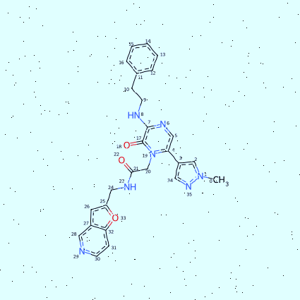 Cn1cc(-c2cnc(NCCc3ccccc3)c(=O)n2CC(=O)NCc2cc3cnccc3o2)cn1